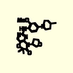 COc1cc(N2CCC(C)CC2)ccc1Nc1ncc2c(n1)N(C1CCOC1)C(=O)C(C)(C)O2